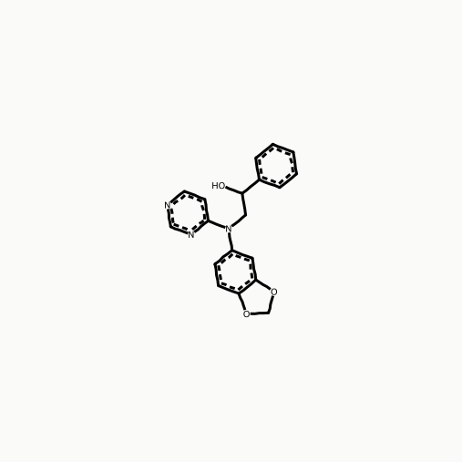 OC(CN(c1ccc2c(c1)OCO2)c1ccncn1)c1ccccc1